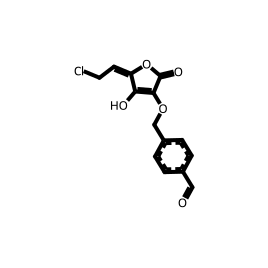 O=Cc1ccc(COC2=C(O)/C(=C\CCl)OC2=O)cc1